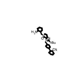 CCCCc1nc2ccn(Cc3ccccc3N)c(=O)c2n1Cc1ccc(-c2ccccc2C#N)cc1